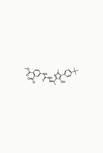 COC(=O)c1ccc(NC(=S)NN=C(C)c2nn(C)c(-c3ccc(C(C)(C)C)cc3)c2O)cc1[N+](=O)[O-]